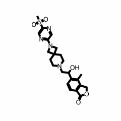 Cc1c(C(O)CN2CCC3(CC2)CN(c2cnc(S(C)(=O)=O)cn2)C3)ccc2c1COC2=O